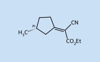 CCOC(=O)C(C#N)=C1CC[C@@H](C)C1